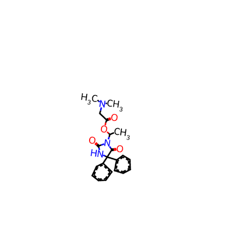 CC(OC(=O)CN(C)C)N1C(=O)NC(c2ccccc2)(c2ccccc2)C1=O